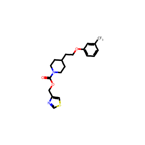 O=C(OCc1cscn1)N1CCC(CCOc2cccc(C(F)(F)F)c2)CC1